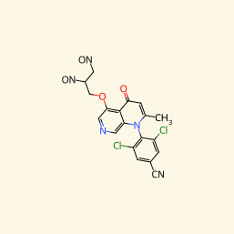 Cc1cc(=O)c2c(OCC(CN=O)N=O)cncc2n1-c1c(Cl)cc(C#N)cc1Cl